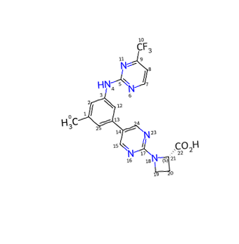 Cc1cc(Nc2nccc(C(F)(F)F)n2)cc(-c2cnc(N3CC[C@H]3C(=O)O)nc2)c1